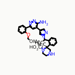 COCOc1ccccc1-c1cc(-c2cnn(C(C)c3ccccc3C3(C)CNCCN3C(=O)O)c2)c(N)nn1